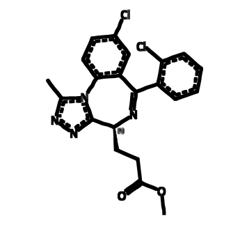 COC(=O)CC[C@@H]1N=C(c2ccccc2Cl)c2cc(Cl)ccc2-n2c(C)nnc21